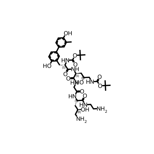 Cc1cc(-c2ccc(O)c(C[C@H](NC(=O)OC(C)(C)C)C(=O)N[C@@H](C[C@@H](O)CNC(=O)OC(C)(C)C)C(=O)NCC(=O)N[C@@H](C[C@@H](O)CN)C(=O)NCCN)c2)ccc1O